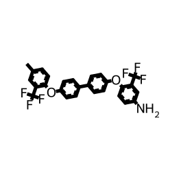 Cc1ccc(Oc2ccc(-c3ccc(Oc4ccc(N)cc4C(F)(F)F)cc3)cc2)c(C(F)(F)F)c1